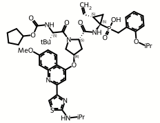 C=C[C@@H]1C[C@]1(NC(=O)[C@@H]1C[C@@H](Oc2cc(-c3csc(NC(C)C)n3)nc3cc(OC)ccc23)CN1C(=O)[C@@H](NC(=O)OC1CCCC1)C(C)(C)C)P(=O)(O)Cc1ccccc1OC(C)C